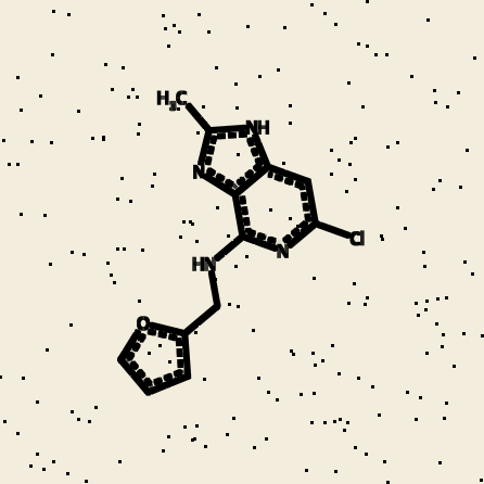 Cc1nc2c(NCc3ccco3)nc(Cl)cc2[nH]1